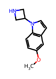 COc1ccc2c(ccn2C2CNC2)c1